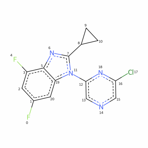 Fc1cc(F)c2nc(C3CC3)n(-c3cncc(Cl)n3)c2c1